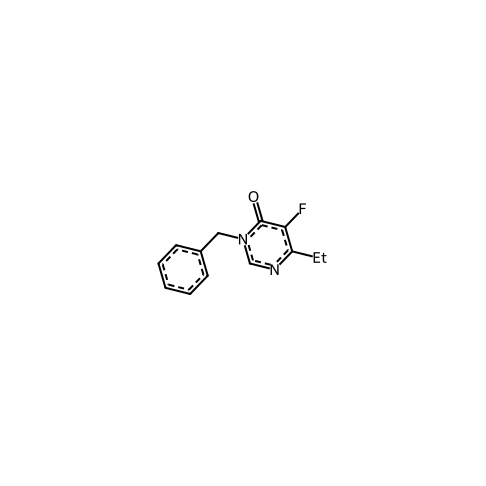 CCc1ncn(Cc2ccccc2)c(=O)c1F